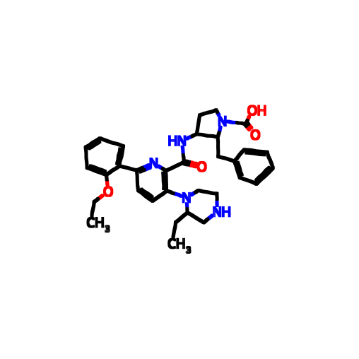 CCOc1ccccc1-c1ccc(N2CCNCC2CC)c(C(=O)NC2CCN(C(=O)O)C2Cc2ccccc2)n1